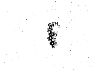 C=CC(=O)N1CCC(c2cc3ccc(-c4ccc(F)c(F)c4F)cc3c(=O)[nH]2)C1